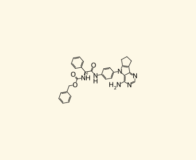 Nc1ncnc2c3c(n(-c4ccc(NC(=O)[C@@H](NC(=O)OCc5ccccc5)c5ccccc5)cc4)c12)CCC3